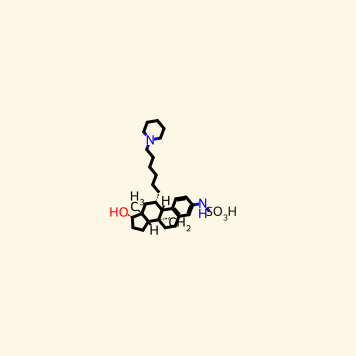 C=C[C@@]12CCc3cc(NS(=O)(=O)O)ccc3[C@H]1[C@@H](CCCCCCN1CCCCC1)C[C@@]1(C)[C@H]2CC[C@@H]1O